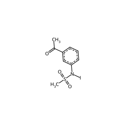 CC(=O)c1cccc(N(I)S(C)(=O)=O)c1